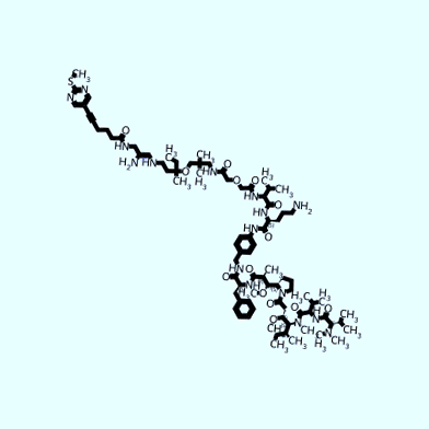 CC[C@H](C)[C@@H]([C@@H](CC(=O)N1CCC[C@H]1[C@H](OC)[C@@H](C)C(=O)N[C@@H](Cc1ccccc1)C(=O)NCc1ccc(NC(=O)[C@H](CCCN)NC(=O)C(NC(=O)COCC(=O)NCC(C)(C)COC(C)(CC)CCN/C=C(\N)CNC(=O)CCCC#Cc2cnc(SC)nc2)C(C)C)cc1)OC)N(C)C(=O)C(NC(=O)[C@H](C(C)C)N(C)C)C(C)C